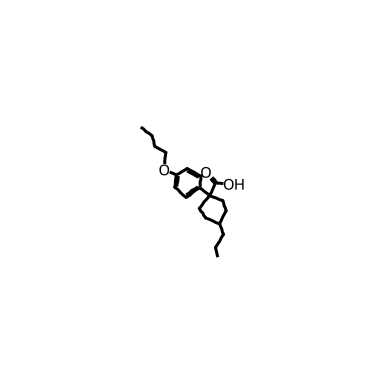 CCCCOc1ccc(C2(C(=O)O)CCC(CCC)CC2)cc1